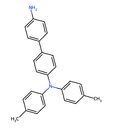 Cc1ccc(N(c2ccc(C)cc2)c2ccc(-c3ccc(N)cc3)cc2)cc1